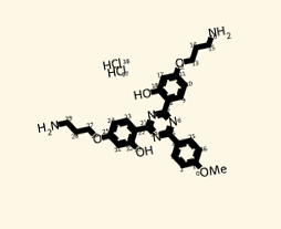 COc1ccc(-c2nc(-c3ccc(OCCCN)cc3O)nc(-c3ccc(OCCCN)cc3O)n2)cc1.Cl.Cl